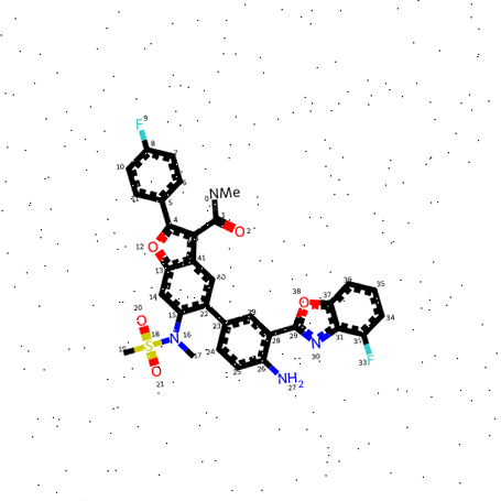 CNC(=O)c1c(-c2ccc(F)cc2)oc2cc(N(C)S(C)(=O)=O)c(-c3ccc(N)c(-c4nc5c(F)cccc5o4)c3)cc12